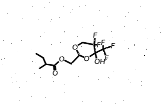 CCC(C)C(=O)OCC1OCC(F)(F)C(O)(C(F)(F)F)O1